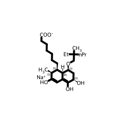 CCCC(C)(CC)CO[C@H]1C[C@H](O)C(O)=C2C=C(O)[C@@H](C)[C@@H](CCCCCCC(=O)[O-])[C@H]21.[Na+]